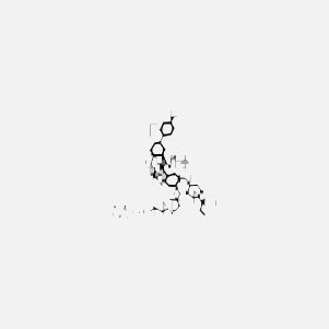 C=CC(=O)N1CCC(Oc2cc3c(Nc4cc(-c5ccc(F)cc5F)ccc4OC)ncnc3cc2OC2CCN(CCOC)C2)CC1